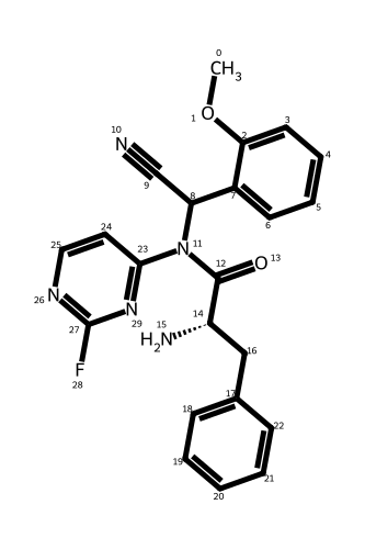 COc1ccccc1C(C#N)N(C(=O)[C@@H](N)Cc1ccccc1)c1ccnc(F)n1